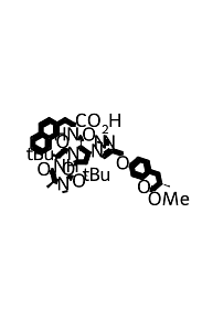 COC(=O)[C@@H](C)Cc1ccc(OCc2cn([C@@H]3CCN(C(=O)[C@@H](NC(=O)[C@H](C)N(C)C(=O)OC(C)(C)C)C(C)(C)C)[C@@H]3C(=O)N[C@@H](Cc3ccc4ccccc4c3)C(=O)O)nn2)cc1